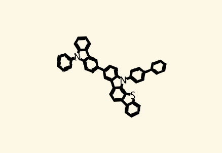 c1ccc(-c2ccc(-n3c4ccc(-c5ccc6c(c5)c5ccccc5n6-c5ccccc5)cc4c4ccc5c6ccccc6sc5c43)cc2)cc1